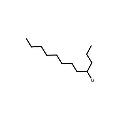 [Li][CH](CCC)CCCCCCCC